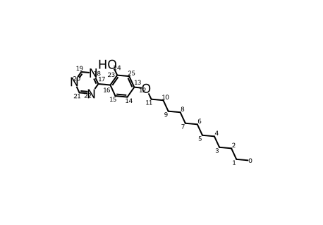 CCCCCCCCCCCCOc1ccc(-c2ncncn2)c(O)c1